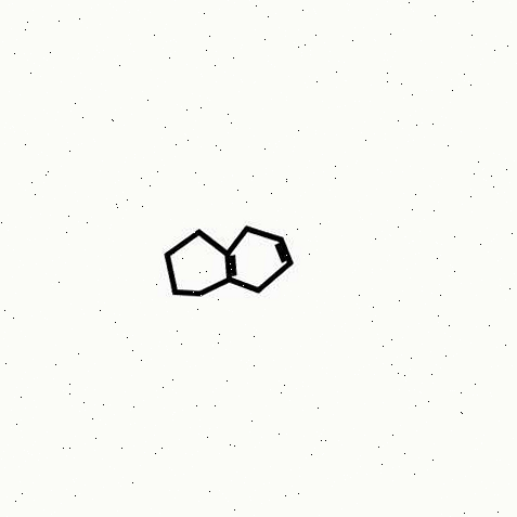 C1=CCC2=C(C1)CCCC2